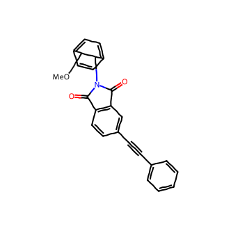 COC1c2ccc(cc2)C1N1C(=O)c2ccc(C#Cc3ccccc3)cc2C1=O